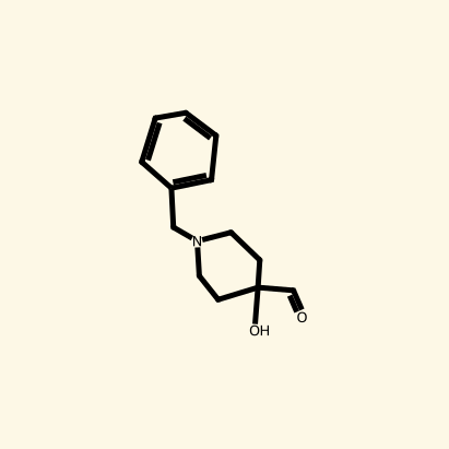 O=CC1(O)CCN(Cc2ccccc2)CC1